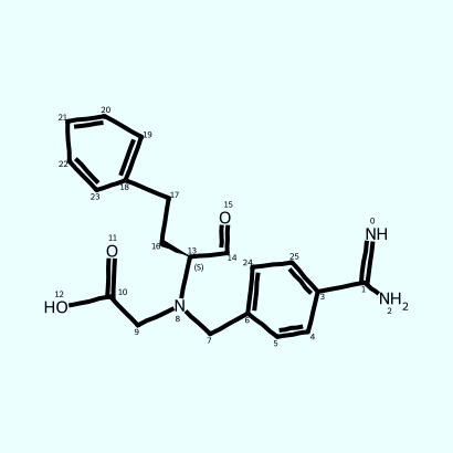 N=C(N)c1ccc(CN(CC(=O)O)[C@H](C=O)CCc2ccccc2)cc1